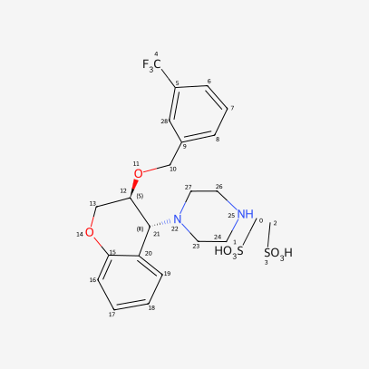 CS(=O)(=O)O.CS(=O)(=O)O.FC(F)(F)c1cccc(CO[C@@H]2COc3ccccc3[C@H]2N2CCNCC2)c1